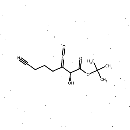 CC(C)(C)OC(=O)[C@@H](O)C(=C=O)CCCC#N